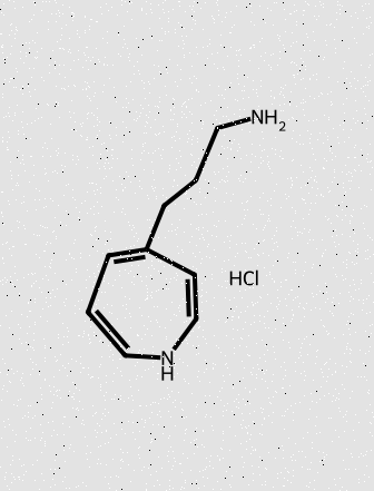 Cl.NCCCC1=CC=CNC=C1